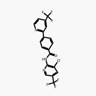 O=C(Nc1ncc(C(F)(F)F)cc1Cl)c1ccc(-c2cc(C(F)(F)F)ccn2)cc1